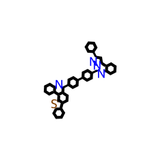 c1ccc(-c2cc3c4ccccc4nc(-c4ccc(-c5ccc(-c6nc7ccccc7c7c6ccc6c8ccccc8sc67)cc5)cc4)n3n2)cc1